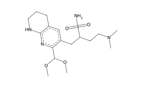 COC(OC)c1nc2c(cc1CC(CCN(C)C)S(N)(=O)=O)CCCN2